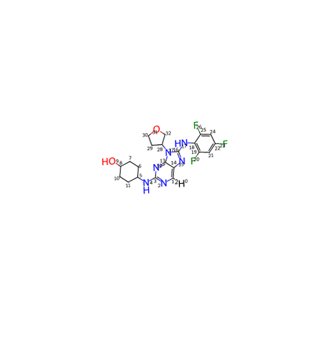 [2H]c1nc(NC2CCC(O)CC2)nc2c1nc(Nc1c(F)cc(F)cc1F)n2C1CCOC1